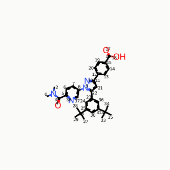 CN(C)C(=O)c1ccc(-n2nc(-c3ccc(C(=O)O)cc3)cc2-c2cc(C(C)(C)C)cc(C(C)(C)C)c2)cn1